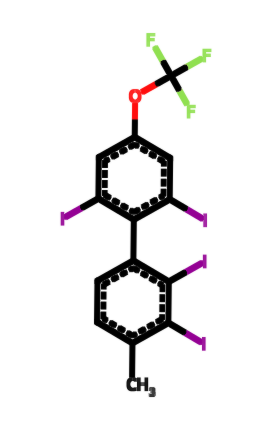 Cc1ccc(-c2c(I)cc(OC(F)(F)F)cc2I)c(I)c1I